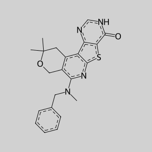 CN(Cc1ccccc1)c1nc2sc3c(=O)[nH]cnc3c2c2c1COC(C)(C)C2